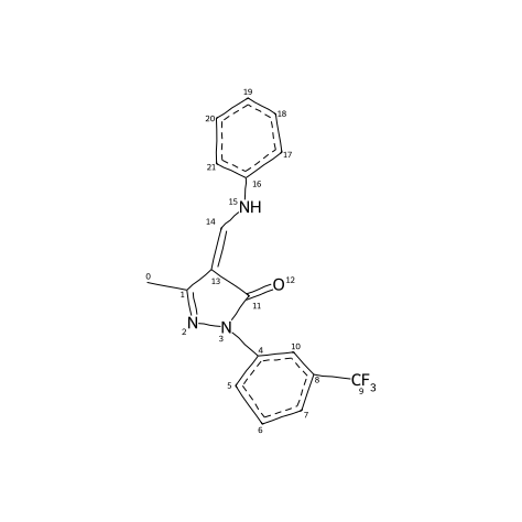 CC1=NN(c2cccc(C(F)(F)F)c2)C(=O)C1=CNc1ccccc1